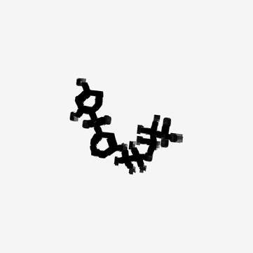 O=S(=O)(c1cccc(SC(F)(F)C(F)(F)OC(F)(F)C(F)(F)S(=O)(=O)O)c1)c1ccc(Cl)cc1Cl